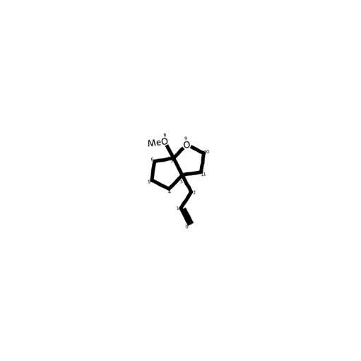 C=CCC12CCCC1(OC)OCC2